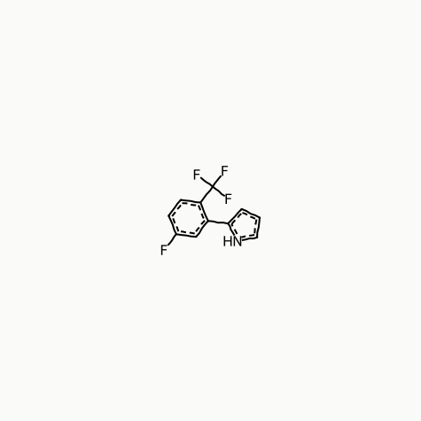 Fc1ccc(C(F)(F)F)c(-c2ccc[nH]2)c1